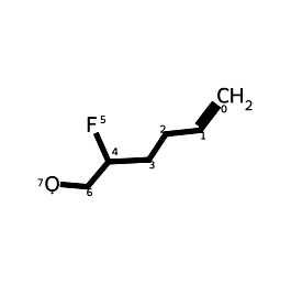 C=CCCC(F)C[O]